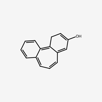 OC1=CCC2=c3ccccc3=CC=CC2=C1